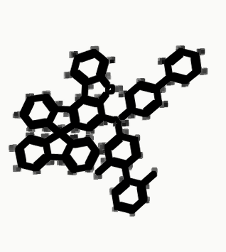 Cc1ccccc1-c1ccc(N(c2ccc(-c3ccccc3)cc2)c2cc3c(c4c2oc2ccccc24)-c2ccccc2C32c3ccccc3-c3ccccc32)cc1C